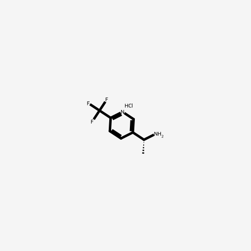 C[C@@H](N)c1ccc(C(F)(F)F)nc1.Cl